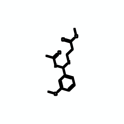 COC(=O)CCSC(SC(C)=O)c1cccc(OC)c1